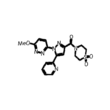 COc1ccc(-n2nc(C(=O)N3CCS(=O)(=O)CC3)cc2-c2ccccn2)nn1